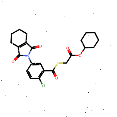 O=C(CSC(=O)c1cc(N2C(=O)C3=C(CCCC3)C2=O)ccc1Cl)OC1CCCCC1